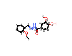 CCOc1ccccc1C=NNC(=O)c1ccc(O)c(OC)c1